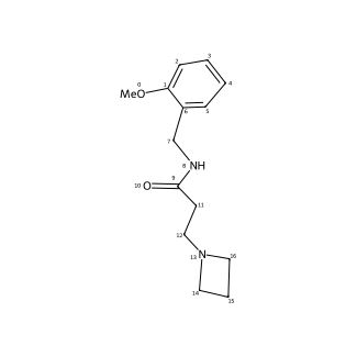 COc1ccccc1CNC(=O)CCN1CCC1